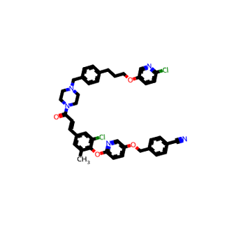 Cc1cc(C=CC(=O)N2CCN(Cc3ccc(CCCOc4ccc(Cl)nc4)cc3)CC2)cc(Cl)c1Oc1ccc(OCc2ccc(C#N)cc2)cn1